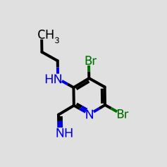 CCCNc1c(Br)cc(Br)nc1C=N